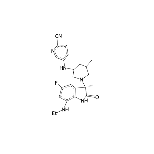 CCNc1cc(F)cc2c1NC(=O)[C@]2(C)N1CC(C)CC(Nc2ccc(C#N)nc2)C1